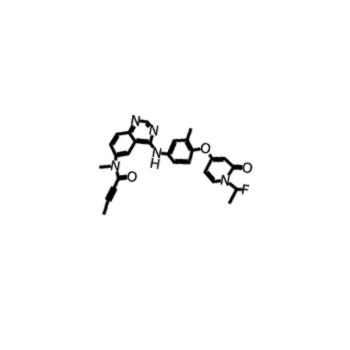 CC#CC(=O)N(C)c1ccc2ncnc(Nc3ccc(Oc4ccn(C(C)F)c(=O)c4)c(C)c3)c2c1